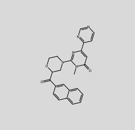 Cn1c(N2CCOC(C(=O)c3ccc4ccccc4c3)C2)nc(-c2ccncn2)cc1=O